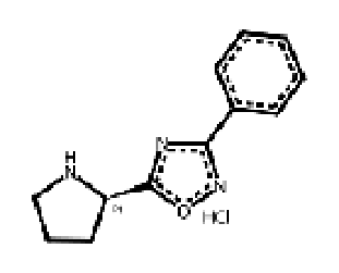 Cl.c1ccc(-c2noc([C@H]3CCCN3)n2)cc1